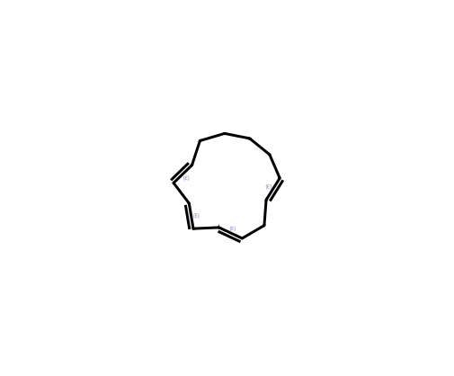 [C]1=C/C/C=C/CCCC/C=C/C=C/1